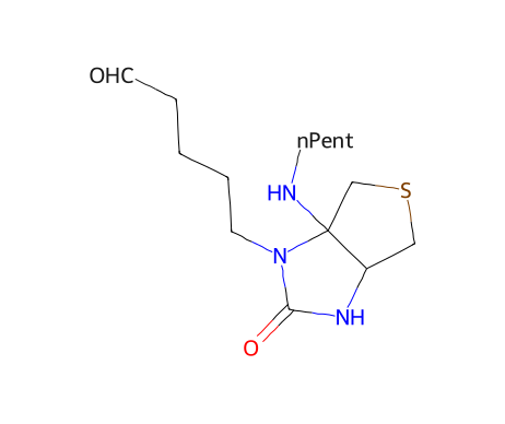 CCCCCNC12CSCC1NC(=O)N2CCCCC=O